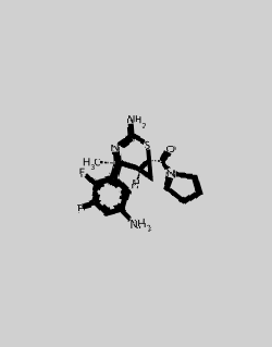 C[C@]1(c2cc(N)cc(F)c2F)N=C(N)S[C@@]2(C(=O)N3CCCC3)C[C@H]21